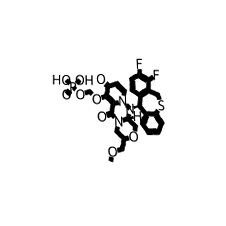 COCC1CN2C(=O)c3c(OCOP(=O)(O)O)c(=O)ccn3N([C@@H]3c4ccccc4SCc4c3ccc(F)c4F)[C@@H]2CO1